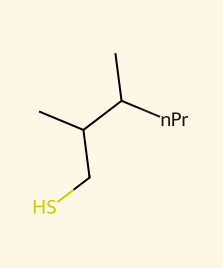 CCCC(C)C(C)CS